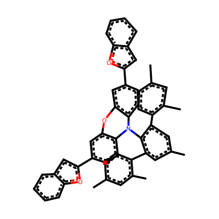 Cc1ccc(-c2cc(C)cc(-c3ccc(C)cc3C)c2N2c3ccc(-c4cc5ccccc5o4)cc3Oc3cc(-c4cc5ccccc5o4)ccc32)c(C)c1